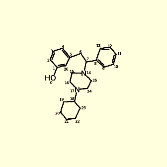 Oc1cccc(CC(c2ccccc2)N2CCN(C3CCCCC3)CC2)c1